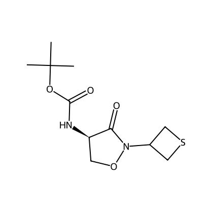 CC(C)(C)OC(=O)N[C@@H]1CON(C2CSC2)C1=O